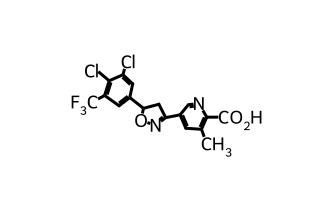 Cc1cc(C2=NOC(c3cc(Cl)c(Cl)c(C(F)(F)F)c3)C2)cnc1C(=O)O